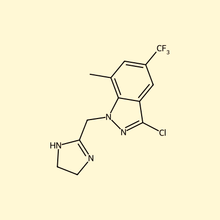 Cc1cc(C(F)(F)F)cc2c(Cl)nn(CC3=NCCN3)c12